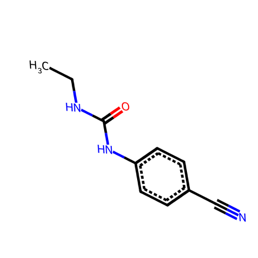 CCNC(=O)Nc1ccc(C#N)cc1